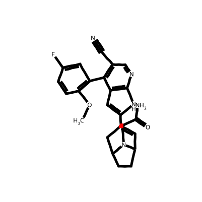 COc1ccc(F)cc1-c1c(C#N)cnc2[nH]c(C3=CC4CCC(C3)N4CC(N)=O)cc12